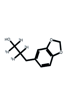 [2H]C([2H])(O)C([2H])([2H])Cc1ccc2c(c1)OCO2